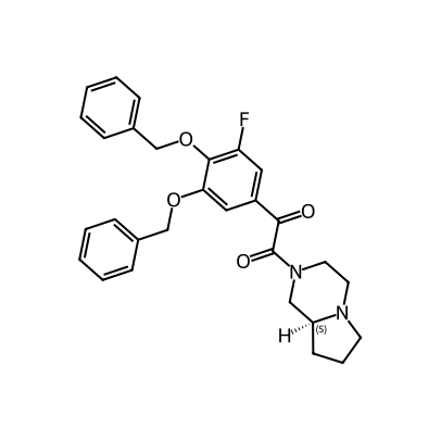 O=C(C(=O)N1CCN2CCC[C@H]2C1)c1cc(F)c(OCc2ccccc2)c(OCc2ccccc2)c1